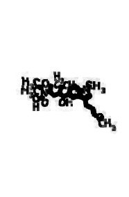 COCCCc1cn(C)c2ccc(C(O)C(CC3COC(C)(C)N3C(=O)O)C(C)C)cc12